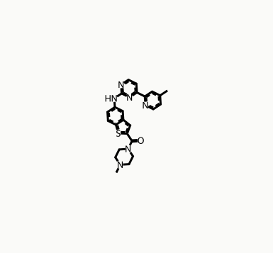 Cc1ccnc(-c2ccnc(Nc3ccc4sc(C(=O)N5CCN(C)CC5)cc4c3)n2)c1